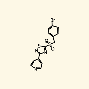 O=S(=O)(Cc1ccc(Br)cc1)c1nc(-c2ccncc2)ns1